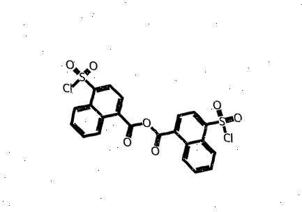 O=C(OC(=O)c1ccc(S(=O)(=O)Cl)c2ccccc12)c1ccc(S(=O)(=O)Cl)c2ccccc12